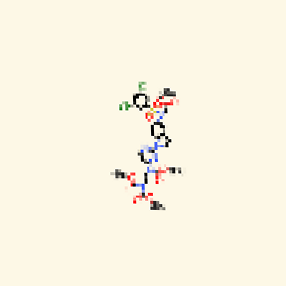 CC(C)(C)OC(=O)CN(c1ccc2c(ccn2-c2nccc(N(CCN(C(=O)OC(C)(C)C)C(=O)OC(C)(C)C)C(=O)OC(C)(C)C)n2)c1)S(=O)(=O)c1cc(Cl)cc(Cl)c1